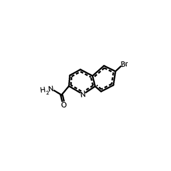 NC(=O)c1ccc2cc(Br)ccc2n1